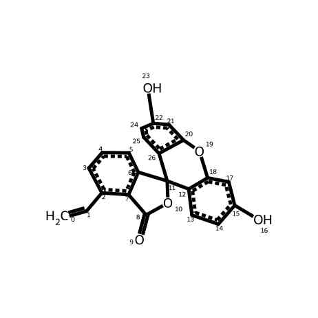 C=Cc1cccc2c1C(=O)OC21c2ccc(O)cc2Oc2cc(O)ccc21